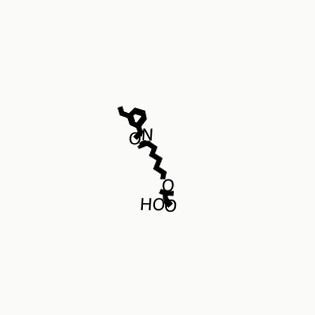 CCc1cccc(-c2nc(CCCCCCOC(C)(C)C(=O)O)co2)c1